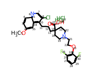 COc1ccc2ncc(Cl)c(CCCC3(C(=O)O)CCN(CCOc4c(F)cccc4F)CC3)c2c1.Cl.Cl